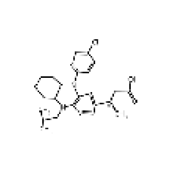 CC(C)CN(c1ncc([C@H](C)CC(=O)O)cc1Nc1ccc(Cl)cn1)C1CCCCC1